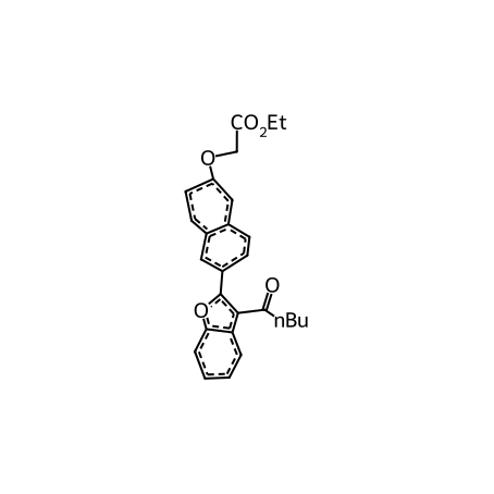 CCCCC(=O)c1c(-c2ccc3cc(OCC(=O)OCC)ccc3c2)oc2ccccc12